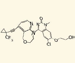 Cn1c(=O)nc(N2CCOCc3c(C#CC4(C(F)(F)F)CC4)ccnc32)c2cc(Cl)c(OCCO)cc21